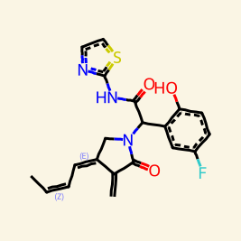 C=C1C(=O)N(C(C(=O)Nc2nccs2)c2cc(F)ccc2O)C/C1=C/C=C\C